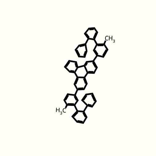 Cc1ccc(-c2ccc3c4ccc(-c5ccc(C)c(-c6ccccc6-c6ccccc6)c5)cc4c4ccccc4c3c2)cc1-c1ccccc1-c1ccccc1